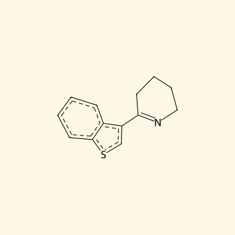 c1ccc2c(C3=NCCCC3)csc2c1